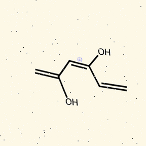 C=C/C(O)=C\C(=C)O